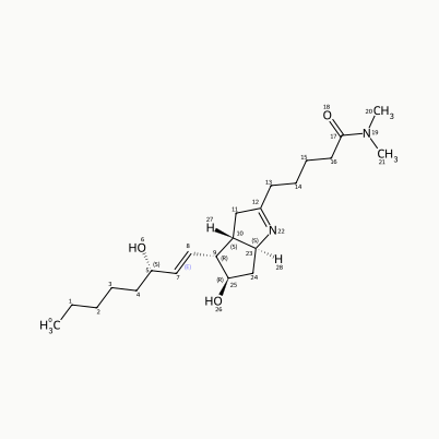 CCCCC[C@H](O)/C=C/[C@@H]1[C@@H]2CC(CCCCC(=O)N(C)C)=N[C@H]2C[C@H]1O